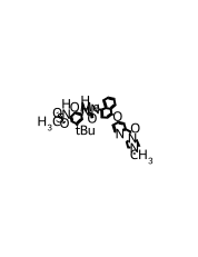 COc1c(NC(=O)Nc2ccc(Oc3ccnc(C(=O)N4CCN(C)CC4)c3)c3ccccc23)cc(C(C)(C)C)cc1NS(C)(=O)=O